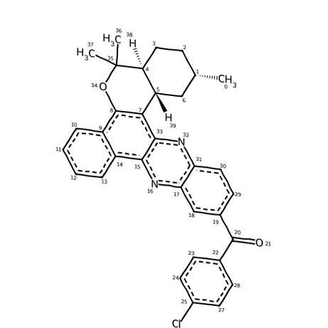 C[C@H]1CC[C@H]2[C@H](C1)c1c(c3ccccc3c3nc4cc(C(=O)c5ccc(Cl)cc5)ccc4nc13)OC2(C)C